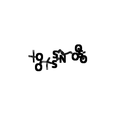 CC(C)(C)OC(=O)C(C)(C)Sc1nc(COS(C)(=O)=O)cs1